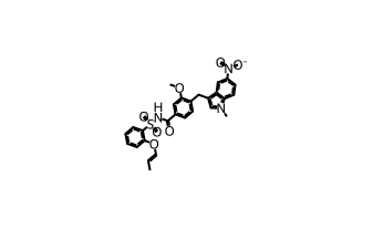 C/C=C/Oc1ccccc1S(=O)(=O)NC(=O)c1ccc(Cc2cn(C)c3ccc([N+](=O)[O-])cc23)c(OC)c1